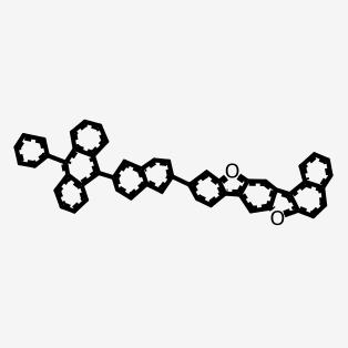 c1ccc(-c2c3ccccc3c(-c3ccc4cc(-c5ccc6c(c5)oc5cc7c(cc56)oc5ccc6ccccc6c57)ccc4c3)c3ccccc23)cc1